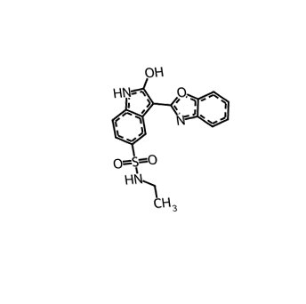 CCNS(=O)(=O)c1ccc2[nH]c(O)c(-c3nc4ccccc4o3)c2c1